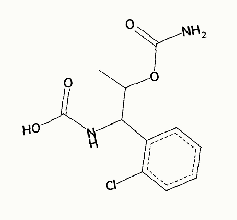 CC(OC(N)=O)C(NC(=O)O)c1ccccc1Cl